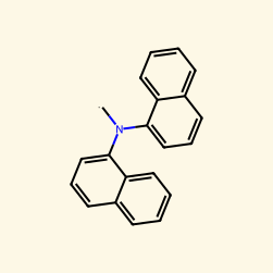 [CH2]N(c1cccc2ccccc12)c1cccc2ccccc12